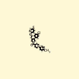 Cc1ccc(N2CCC(C(=O)N3C[C@H](CCOc4ccc(F)cn4)[C@@H](c4ccc(Cl)cc4)C3)CC2)nn1